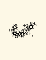 Cc1cccc([C@@H](CO)NC(=O)C(C)n2cnn3cc(-c4cc(NC5CCOCC5)ncc4Cl)cc3c2=O)c1